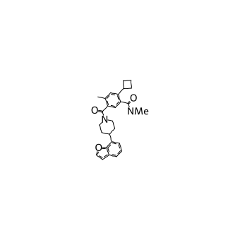 CNC(=O)c1cc(C(=O)N2CCC(c3cccc4ccoc34)CC2)c(C)cc1C1CCC1